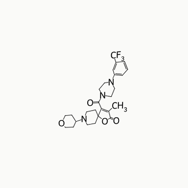 CC1=C(C(=O)N2CCN(c3cccc(C(F)(F)F)c3)CC2)C2(CCN(C3CCOCC3)CC2)OC1=O